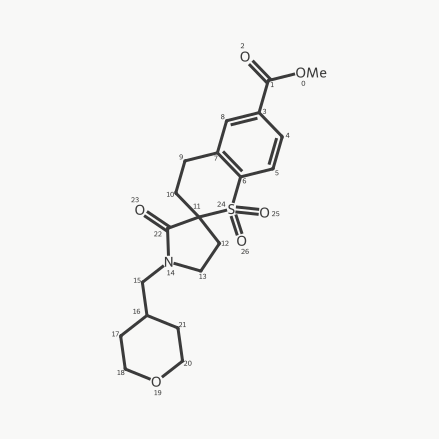 COC(=O)c1ccc2c(c1)CCC1(CCN(CC3CCOCC3)C1=O)S2(=O)=O